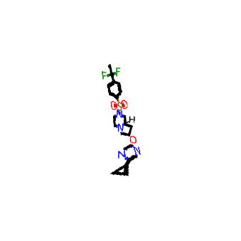 CC(F)(F)c1ccc(S(=O)(=O)N2CCN3C[C@@H](Oc4cnc(C5CC5)cn4)C[C@H]3C2)cc1